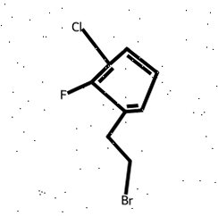 Fc1c(Cl)cccc1CCBr